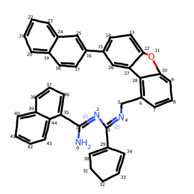 N/C(=N\C(=N/Cc1cccc2oc3ccc(-c4ccc5ccccc5c4)cc3c12)C1=CCCC=C1)c1cccc2ccccc12